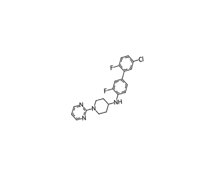 Fc1cc(-c2cc(Cl)ccc2F)ccc1NC1CCN(c2ncccn2)CC1